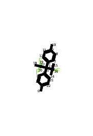 Cc1ccc(C(c2ccc(C)cc2)(C(C)(C)F)C(C)(F)F)cc1